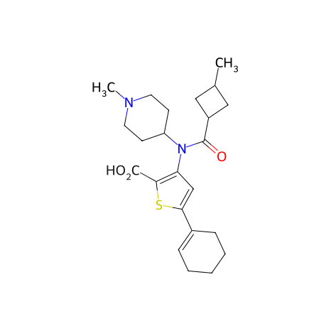 CC1CC(C(=O)N(c2cc(C3=CCCCC3)sc2C(=O)O)C2CCN(C)CC2)C1